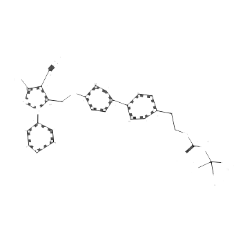 Cc1nn(-c2ccccc2)c(COc2ccc(-c3ccc(CCNC(=O)OC(C)(C)C)cc3)cc2)c1C#N